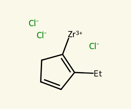 CCC1=[C]([Zr+3])CC=C1.[Cl-].[Cl-].[Cl-]